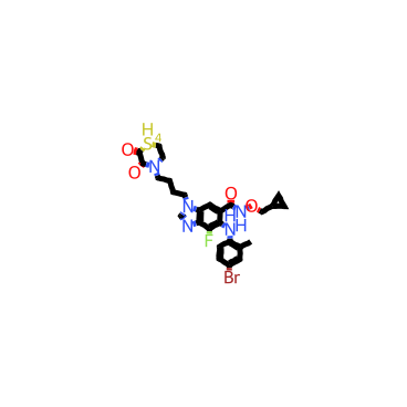 Cc1cc(Br)ccc1Nc1c(C(=O)NOCC2CC2)cc2c(ncn2CCCCN2CC[SH4]C(=O)C2=O)c1F